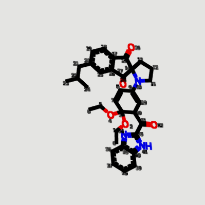 CCOC1(OCC)C=CC(N2CCCC23C(=O)c2ccc(CC(C)C)cc2C3=O)=CC1C(=O)c1nc2ccccc2[nH]1